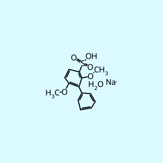 COc1ccc(S(=O)(=O)O)c(OC)c1-c1ccccc1.O.[Na]